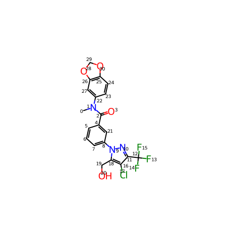 CN(C(=O)c1cccc(-n2nc(C(F)(F)F)c(Cl)c2CO)c1)c1ccc2c(c1)OCO2